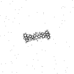 CC1(C)c2cc(-c3ccc4c(c3)C(C)(C)c3cc(N5c6ccccc6Oc6ccccc65)ccc3-4)ccc2-c2ccc(N3c4ccccc4Oc4ccccc43)cc21